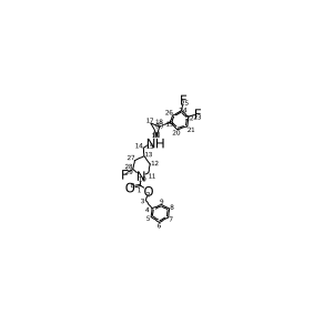 O=C(OCc1ccccc1)N1CCC(CN[C@@H]2C[C@H]2c2ccc(F)c(F)c2)CC1F